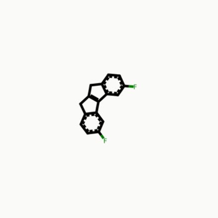 Fc1ccc2c(c1)C1=C(C2)Cc2ccc(F)cc21